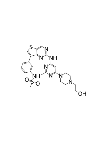 Cc1nc(Nc2ncc3scc(-c4cccc(NS(C)(=O)=O)c4)c3n2)cc(N2CCN(CCO)CC2)n1